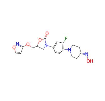 O=C1OC(COc2ccon2)CN1c1ccc(N2CCC(=NO)CC2)c(F)c1